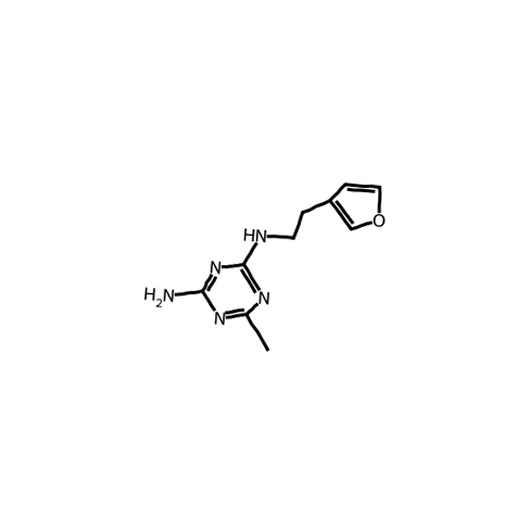 Cc1nc(N)nc(NCCc2ccoc2)n1